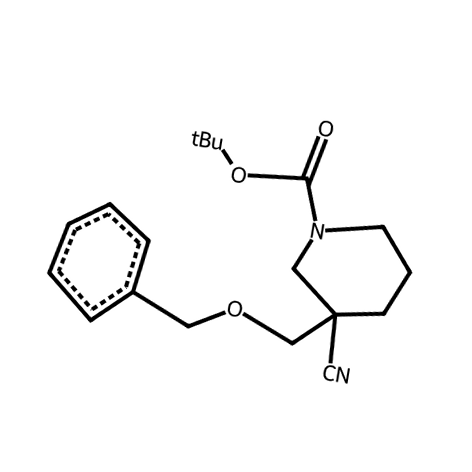 CC(C)(C)OC(=O)N1CCCC(C#N)(COCc2ccccc2)C1